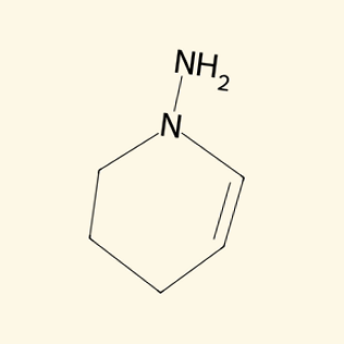 NN1C=CCCC1